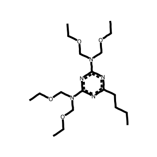 CCCCc1nc(N(COCC)COCC)nc(N(COCC)COCC)n1